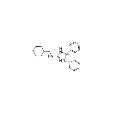 C1=CCC([C@@H]2N=C(NCC3CCCCC3)N[C@@H]2c2ccccc2)C=C1